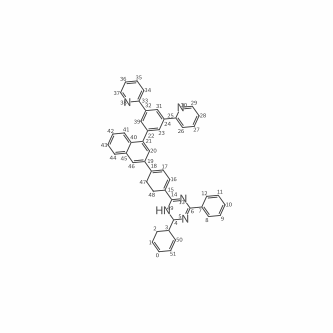 C1=CCC(C2N=C(c3ccccc3)N=C(C3=CC=C(c4cc(-c5cc(-c6ccccn6)cc(-c6ccccn6)c5)c5ccccc5c4)CC3)N2)C=C1